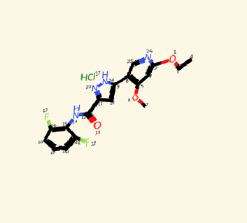 CCOc1cc(OC)c(-c2cc(C(=O)Nc3c(F)cccc3F)n[nH]2)cn1.Cl